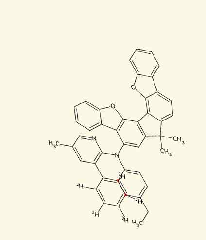 [2H]c1c([2H])c([2H])c(-c2cc(C)cnc2N(c2ccc(CC)cc2)c2cc3c(c4oc5ccccc5c24)-c2c(ccc4c2oc2ccccc24)C3(C)C)c([2H])c1[2H]